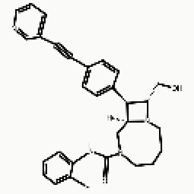 O=C(Nc1ccccc1F)N1CCCCN2[C@@H](CO)[C@H](c3ccc(C#Cc4cccnc4)cc3)[C@@H]2C1